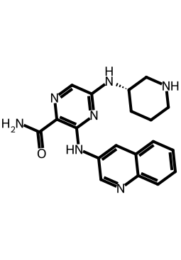 NC(=O)c1ncc(N[C@H]2CCCNC2)nc1Nc1cnc2ccccc2c1